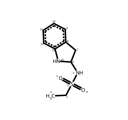 CCS(=O)(=O)NC1Cc2ccccc2N1